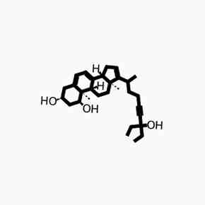 CCC(O)(C#CCCC(C)C1=CC[C@H]2C3=CC=C4C[C@@H](O)C[C@H](O)[C@]4(C)[C@H]3CC[C@]12C)CC